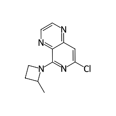 CC1CCN1c1nc(Cl)cc2nccnc12